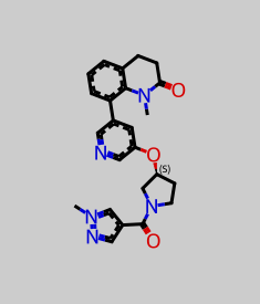 CN1C(=O)CCc2cccc(-c3cncc(O[C@H]4CCN(C(=O)c5cnn(C)c5)C4)c3)c21